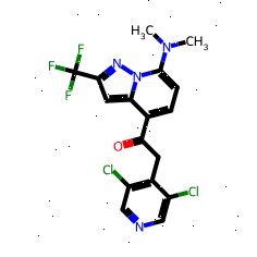 CN(C)c1ccc(C(=O)Cc2c(Cl)cncc2Cl)c2cc(C(F)(F)F)nn12